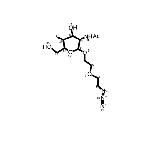 CC(=O)NC1C(OCCOCCN=[N+]=[N-])OC(CO)C(C)C1O